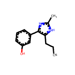 Cc1nc(-c2cccc(O)c2)c(CCC#N)[nH]1